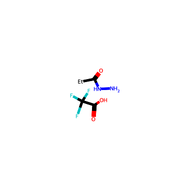 CCC(=O)NN.O=C(O)C(F)(F)F